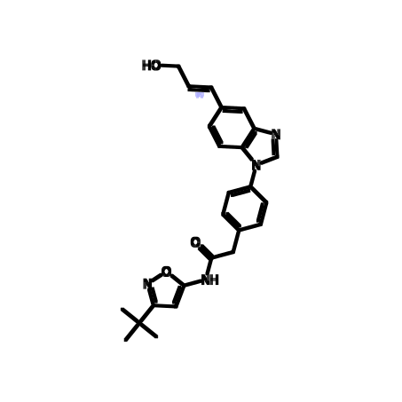 CC(C)(C)c1cc(NC(=O)Cc2ccc(-n3cnc4cc(/C=C/CO)ccc43)cc2)on1